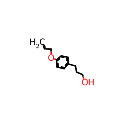 C=CCOc1ccc(CCCO)cc1